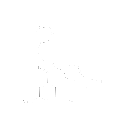 COc1cc(OC)cc(-c2nc(Cc3ccccc3)oc2-c2ccc(S(C)(=O)=O)cc2)c1